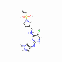 C=CS(=O)(=O)N1CC[C@@H](CNc2nc(Nc3cnn(C)c3)ncc2Cl)C1